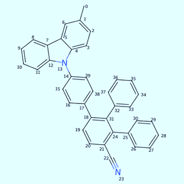 Cc1ccc2c(c1)c1ccccc1n2-c1ccc(-c2ccc(C#N)c(-c3ccccc3)c2-c2ccccc2)cc1